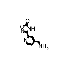 NCc1ccnc(-c2noc(=O)[nH]2)c1